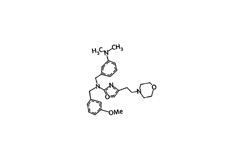 COc1cccc(CN(Cc2cccc(N(C)C)c2)c2nc(CCN3CCOCC3)co2)c1